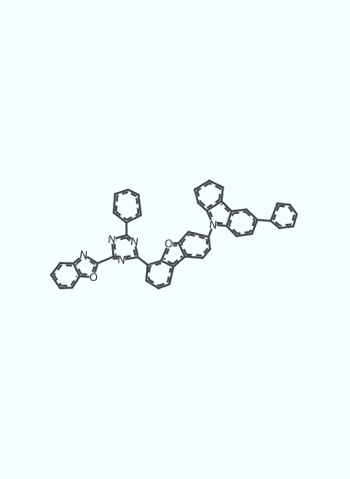 c1ccc(-c2ccc3c(c2)c2ccccc2n3-c2ccc3c(c2)oc2c(-c4nc(-c5ccccc5)nc(-c5nc6ccccc6o5)n4)cccc23)cc1